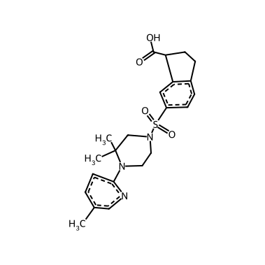 Cc1ccc(N2CCN(S(=O)(=O)c3ccc4c(c3)C(C(=O)O)CC4)CC2(C)C)nc1